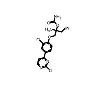 CC(C)CC(C)(COc1ccc(-c2ccnc(Cl)n2)cc1Cl)OC(N)=O